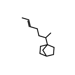 CC=CCCC(C)C12CCC(CC1)C2